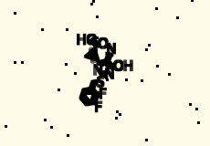 N#Cc1c(O)nc(SCc2cccc(F)c2F)nc1[C@H]1C[C@@H]1C(=O)O